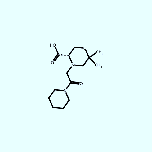 CC1(C)CN(CC(=O)N2CCCCC2)[C@H](C(=O)O)CO1